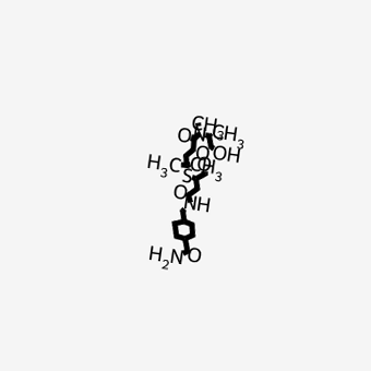 C[C@@H](C(=O)O)N(C)C(=O)CCC(C)(C)SC(C=O)CC(=O)NCC1CCC(C(N)=O)CC1